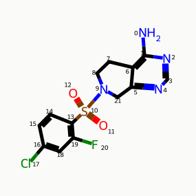 Nc1ncnc2c1CCN(S(=O)(=O)c1ccc(Cl)cc1F)C2